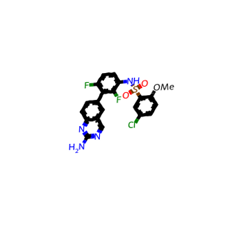 COc1ccc(Cl)cc1S(=O)(=O)Nc1ccc(F)c(-c2ccc3nc(N)ncc3c2)c1F